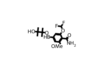 COc1cc(BOC(C)(C)C(C)(C)O)cc(OC(F)F)c1C(N)=O